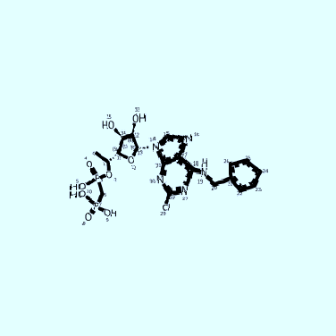 CC(OP(=O)(O)CP(=O)(O)O)[C@H]1O[C@@H](n2cnc3c(NCc4ccccc4)nc(Cl)nc32)[C@H](O)[C@@H]1O